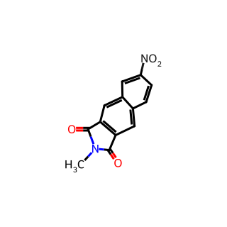 CN1C(=O)c2cc3ccc([N+](=O)[O-])cc3cc2C1=O